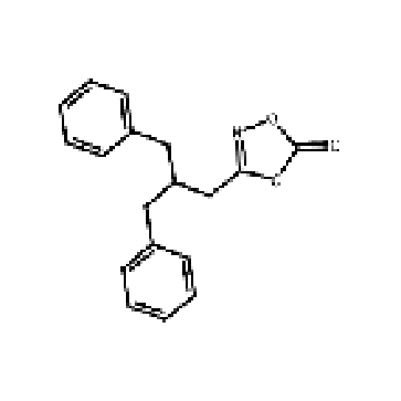 O=c1onc(CC(Cc2ccccc2)Cc2ccccc2)o1